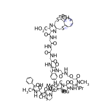 CCCC1(C)SCc2nc(C(=O)O)c(C(=O)NCC(=O)NCC(=O)NCC(=O)N[C@@H](Cc3ccccc3)C(=O)NCC(=O)NCOCC(=O)N(C)[C@H](C(=O)N[C@H](C(=O)N(C)[C@@H]([C@@H](C)CC)[C@@H](CC(=O)N3CCC[C@H]3[C@H](OC)[C@@H](C)C(=O)N[C@H](C)[C@@H](O)c3ccccc3)OC)C(C)C)C(C)C)nc2CSC2=C/C=C\C=C/C=C\21